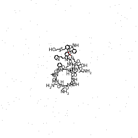 CNC(=O)c1ccccc1Sc1ccc2c(/C=C/c3ccccn3)nn(C(=O)N(CCOCc3ccccc3CSSCCO)CCC(=O)N[C@H](C(=O)N[C@H](CCCN)C(=O)N[C@H]3CCNC(=O)[C@@H]([C@@H](C)O)NC(=O)[C@@H](CCN)NC(=O)[C@@H](CCN)NC(=O)[C@@H](CC(C)C)NC(=O)[C@@H](Cc4ccccc4)NC(=O)[C@@H](CCN)NC3=O)[C@@H](C)O)c2c1